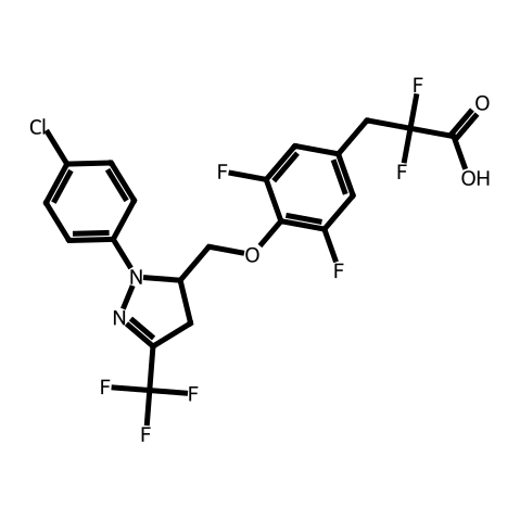 O=C(O)C(F)(F)Cc1cc(F)c(OCC2CC(C(F)(F)F)=NN2c2ccc(Cl)cc2)c(F)c1